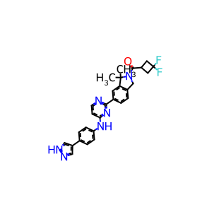 CC1(C)c2cc(-c3nccc(Nc4ccc(-c5cn[nH]c5)cc4)n3)ccc2CN1C(=O)C1CC(F)(F)C1